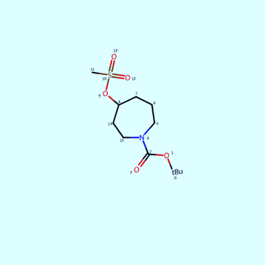 CC(C)(C)OC(=O)N1CCCC(OS(C)(=O)=O)CC1